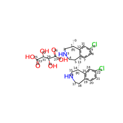 C[C@H]1CNCCc2ccc(Cl)cc21.C[C@H]1CNCCc2ccc(Cl)cc21.O=C(O)C(O)C(O)C(=O)O